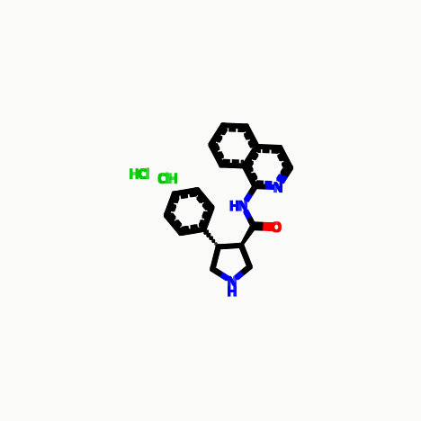 Cl.Cl.O=C(Nc1nccc2ccccc12)[C@H]1CNC[C@@H]1c1ccccc1